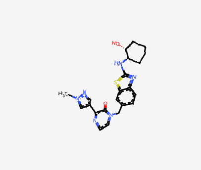 Cn1cc(-c2nccn(Cc3ccc4nc(N[C@@H]5CCCC[C@H]5O)sc4c3)c2=O)cn1